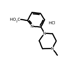 CN1CCN(c2cccc(C(=O)O)n2)CC1.Cl